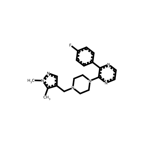 Cc1c(CN2CCN(c3nccnc3-c3ccc(F)cc3)CC2)cnn1C